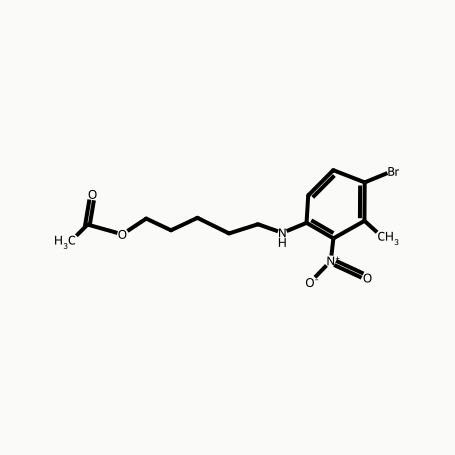 CC(=O)OCCCCCNc1ccc(Br)c(C)c1[N+](=O)[O-]